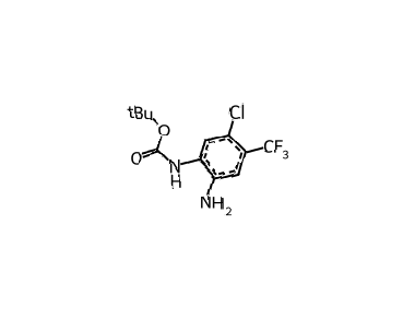 CC(C)(C)OC(=O)Nc1cc(Cl)c(C(F)(F)F)cc1N